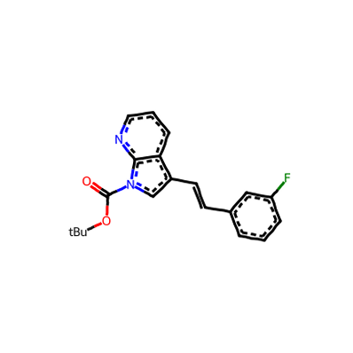 CC(C)(C)OC(=O)n1cc(/C=C/c2cccc(F)c2)c2cccnc21